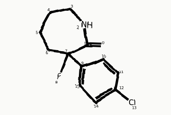 C=C1NCCCCC1(F)c1ccc(Cl)cc1